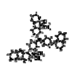 C[Si]1(C)c2ccccc2-c2ccc(N(c3ccc(-c4cccc5ccccc45)cc3)c3ccc4c(c3)[Si](C)(C)c3ccc5c(sc6ccccc65)c3-4)cc21